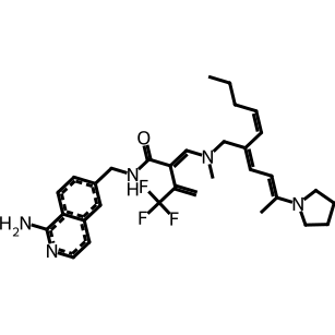 C=C(/C(=C\N(C)CC(/C=C\CCC)=C/C=C(\C)N1CCCC1)C(=O)NCc1ccc2c(N)nccc2c1)C(F)(F)F